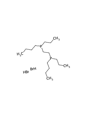 Br.Br.CCCCP(CCC)CCP(CCC)CCCC